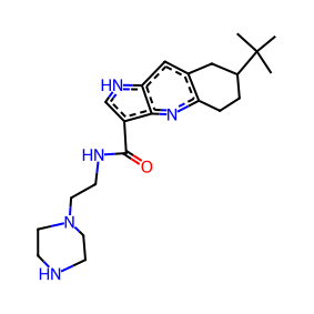 CC(C)(C)C1CCc2nc3c(C(=O)NCCN4CCNCC4)c[nH]c3cc2C1